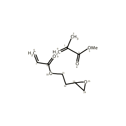 C=C(C)C(=O)OC.C=CC(=O)OCCC1CO1